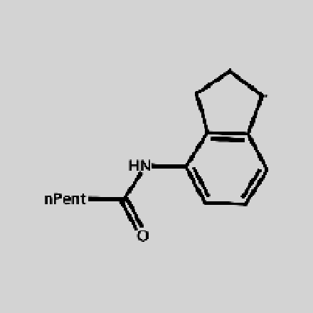 CCCCCC(=O)Nc1cccc2c1CC[CH]2